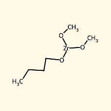 CCCC[O][Zr]([O]C)[O]C